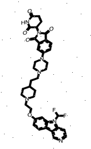 O=C1CCC(N2C(=O)c3ccc(N4CCN(CCC5CCN(CCOc6ccc7c8cnccc8n(C(F)F)c7c6)CC5)CC4)cc3C2=O)C(=O)N1